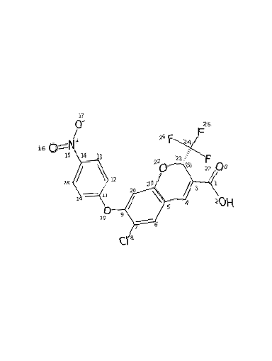 O=C(O)C1=Cc2cc(Cl)c(Oc3ccc([N+](=O)[O-])cc3)cc2O[C@@H]1C(F)(F)F